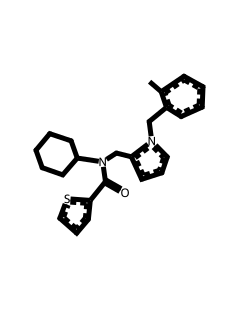 Cc1ccccc1Cn1cccc1CN(C(=O)c1cccs1)C1CCCCC1